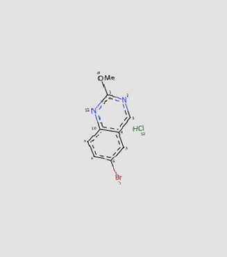 COc1ncc2cc(Br)ccc2n1.Cl